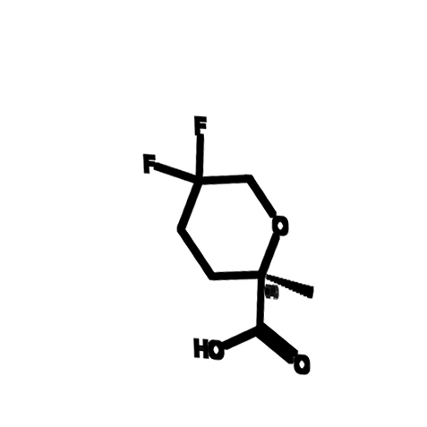 C[C@]1(C(=O)O)CCC(F)(F)CO1